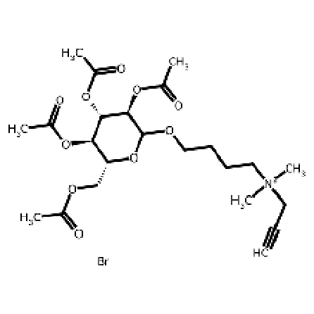 C#CC[N+](C)(C)CCCCOC1O[C@H](COC(C)=O)[C@@H](OC(C)=O)[C@H](OC(C)=O)[C@H]1OC(C)=O.[Br-]